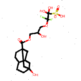 O=C(OCC(O)COC(F)(F)C(O)(O)S(=O)(=O)O)C12CCC3CCC(O)(CC3C1)C2